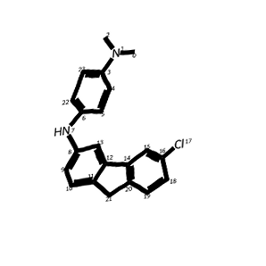 CN(C)c1ccc(Nc2ccc3c(c2)-c2cc(Cl)ccc2C3)cc1